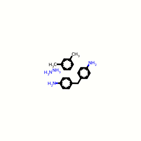 Cc1cccc(C)c1.N.N.Nc1ccc(Cc2ccc(N)cc2)cc1